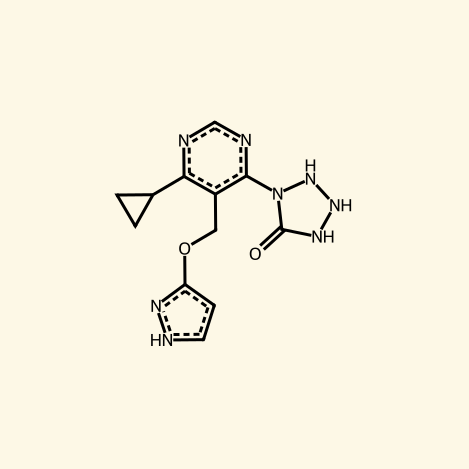 O=C1NNNN1c1ncnc(C2CC2)c1COc1cc[nH]n1